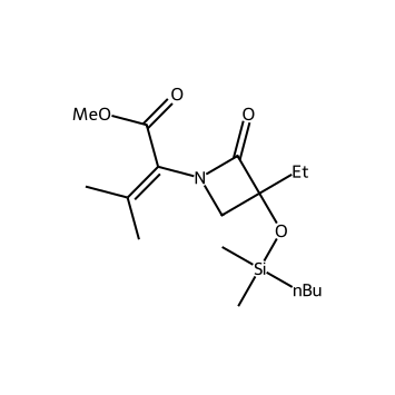 CCCC[Si](C)(C)OC1(CC)CN(C(C(=O)OC)=C(C)C)C1=O